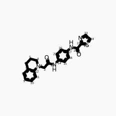 O=C(CN1CCCc2ccccc21)Nc1ccc(NC(=O)c2nccs2)cc1